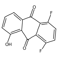 O=C1c2cccc(O)c2C(=O)c2c(F)ccc(F)c21